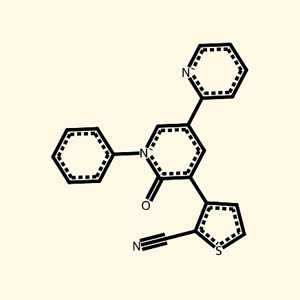 N#Cc1sccc1-c1cc(-c2ccccn2)cn(-c2ccccc2)c1=O